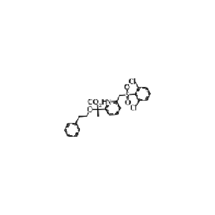 CC(OCCc1ccccc1)(C(=O)O)c1cccc(CS(=O)(=O)c2c(Cl)cccc2Cl)n1